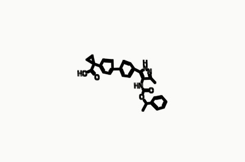 Cc1n[nH]c(-c2ccc(-c3ccc(C4(C(=O)O)CC4)cc3)cc2)c1NC(=O)OC(C)c1ccccc1